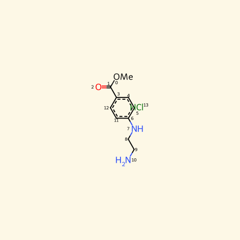 COC(=O)c1ccc(NCCN)cc1.Cl